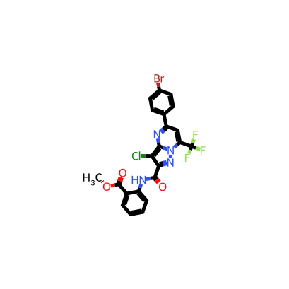 COC(=O)c1ccccc1NC(=O)c1nn2c(C(F)(F)F)cc(-c3ccc(Br)cc3)nc2c1Cl